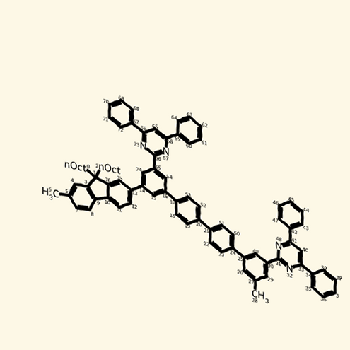 CCCCCCCCC1(CCCCCCCC)c2cc(C)ccc2-c2ccc(-c3cc(-c4ccc(-c5ccc(-c6cc(C)cc(-c7nc(-c8ccccc8)cc(-c8ccccc8)n7)c6)cc5)cc4)cc(-c4nc(-c5ccccc5)cc(-c5ccccc5)n4)c3)cc21